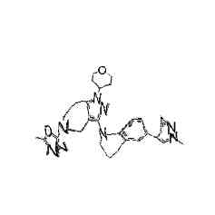 Cc1nnc(N2CCc3c(c(N4CCCc5cc(-c6cnn(C)c6)ccc54)nn3C3CCOCC3)C2)o1